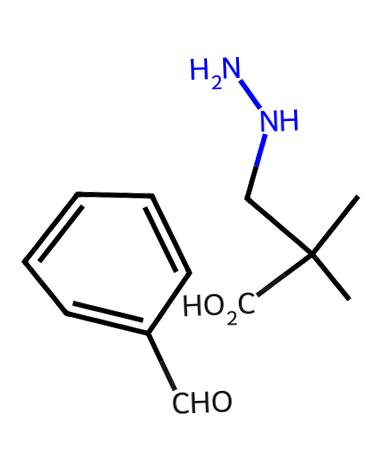 CC(C)(CNN)C(=O)O.O=Cc1ccccc1